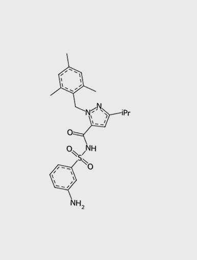 Cc1cc(C)c(Cn2nc(C(C)C)cc2C(=O)NS(=O)(=O)c2cccc(N)c2)c(C)c1